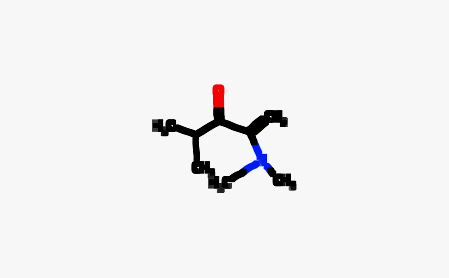 C=C(C(=O)C(C)C)N(C)C